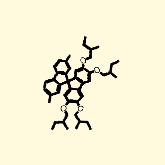 CCC(C)COc1cc2c(cc1OCC(C)CC)C1(c3cc(C)ccc3-c3ccc(C)cc31)c1cc(OCC(C)CC)c(OCC(C)CC)cc1-2